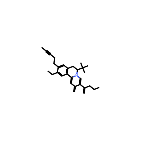 C=C1C=C2c3cc(CC)c(CCC#CC)cc3CC(C(C)(C)C)N2C=C1C(=C)CCC